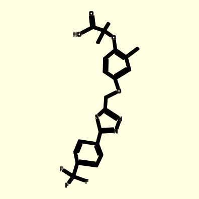 Cc1cc(OCc2nnc(-c3ccc(C(F)(F)F)cc3)s2)ccc1OC(C)(C)C(=O)O